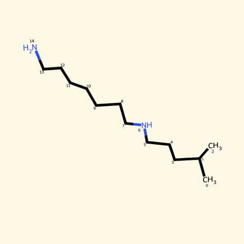 CC(C)CCCNCCCCCCCN